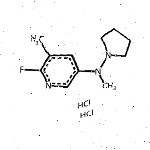 Cc1cc(N(C)N2CCCC2)cnc1F.Cl.Cl